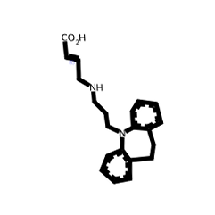 O=C(O)/C=C/CNCCCN1c2ccccc2CCc2ccccc21